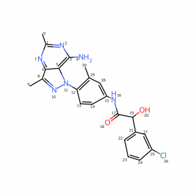 Cc1nc(N)c2c(n1)c(C)nn2-c1ccc(NC(=O)C(O)c2cccc(Cl)c2)cc1C